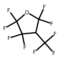 FC(F)(F)C1C(F)(F)OC(F)(F)C1(F)F